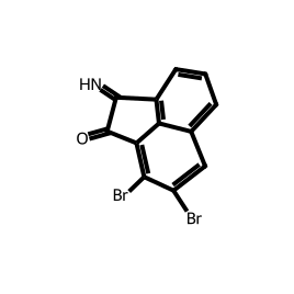 N=C1C(=O)c2c(Br)c(Br)cc3cccc1c23